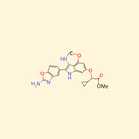 COC(=O)C(Oc1cc2c3c(c(-c4ccc5oc(N)nc5c4)[nH]c3c1)NCCO2)C1CC1